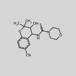 CC1(C)Oc2ccc(C#N)cc2C(NC(=S)N2CCOCC2)C1O